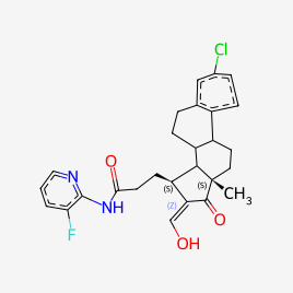 C[C@]12CCC3c4ccc(Cl)cc4CCC3C1[C@H](CCC(=O)Nc1ncccc1F)/C(=C/O)C2=O